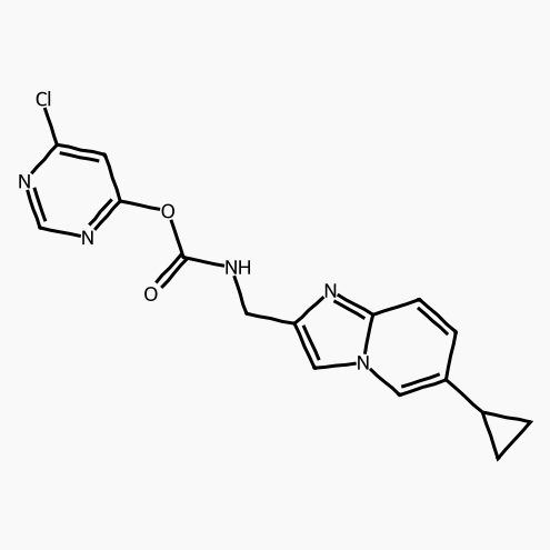 O=C(NCc1cn2cc(C3CC3)ccc2n1)Oc1cc(Cl)ncn1